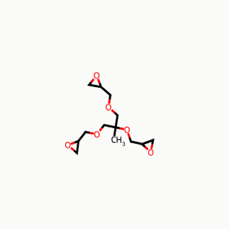 CC(COCC1CO1)(COCC1CO1)OCC1CO1